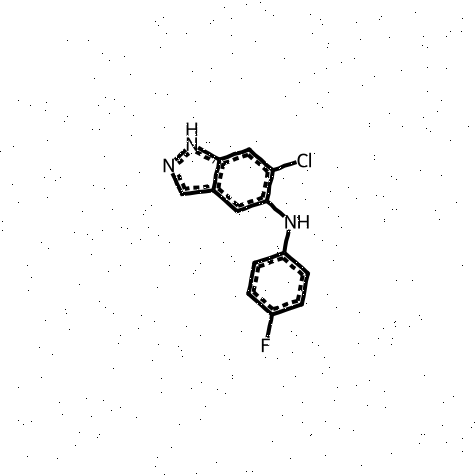 Fc1ccc(Nc2cc3cn[nH]c3cc2Cl)cc1